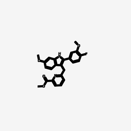 COC(=O)c1cccc(Cc2c(-c3ccc(F)c(OC)c3)[nH]c3cc(OC)ccc23)n1